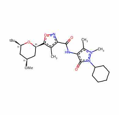 CO[C@H]1C[C@@H](C(C)(C)C)O[C@@H](c2onc(C(=O)Nc3c(C)n(C)n(C4CCCCC4)c3=O)c2C)C1